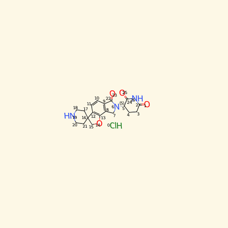 Cl.O=C1CC[C@H](N2Cc3c(ccc4c3OCC43CCNCC3)C2=O)C(=O)N1